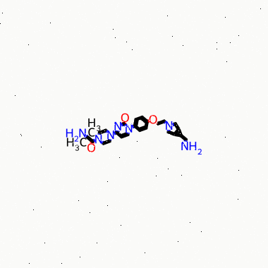 CC(C)(N)C(=O)N1CCN(c2ccn(-c3ccc(OCCN4CC5C(CN)C5C4)cc3)c(=O)n2)CC1